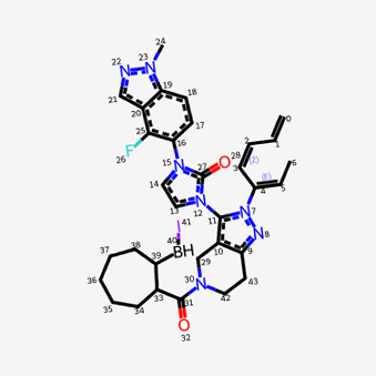 C=C/C=C\C(=C/C)n1nc2c(c1-n1ccn(-c3ccc4c(cnn4C)c3F)c1=O)CN(C(=O)C1CCCCCC1BI)CC2